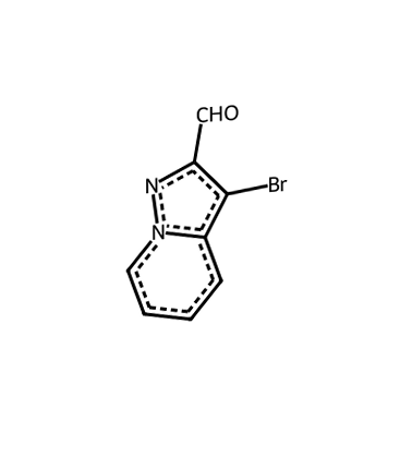 O=Cc1nn2ccccc2c1Br